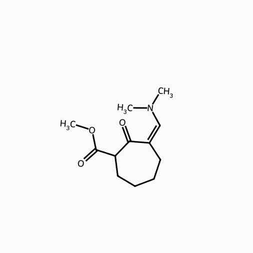 COC(=O)C1CCCC/C(=C/N(C)C)C1=O